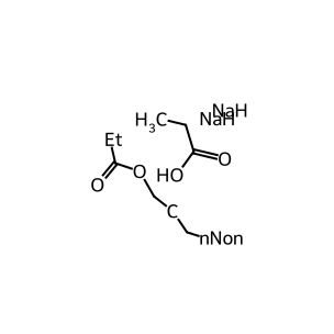 CCC(=O)O.CCCCCCCCCCCCOC(=O)CC.[NaH].[NaH]